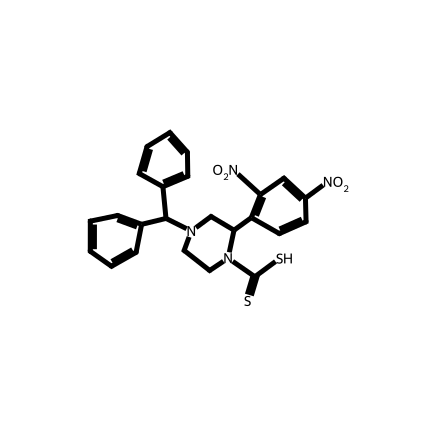 O=[N+]([O-])c1ccc(C2CN(C(c3ccccc3)c3ccccc3)CCN2C(=S)S)c([N+](=O)[O-])c1